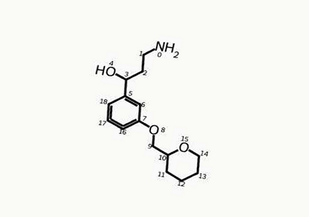 NCCC(O)C1=CC(OCC2CCCCO2)=C=C=C1